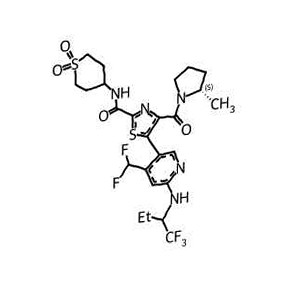 CCC(Nc1cc(C(F)F)c(-c2sc(C(=O)NC3CCS(=O)(=O)CC3)nc2C(=O)N2CCC[C@@H]2C)cn1)C(F)(F)F